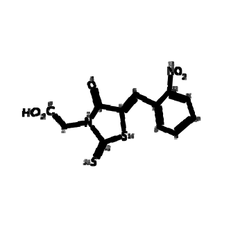 O=C(O)CN1C(=O)/C(=C/c2ccccc2[N+](=O)[O-])SC1=S